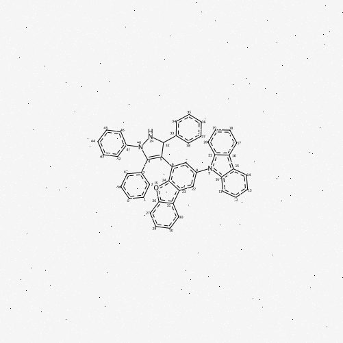 c1ccc(C2=C(c3cc(-n4c5ccccc5c5ccccc54)cc4c3oc3ccccc34)C(c3ccccc3)NN2c2ccccc2)cc1